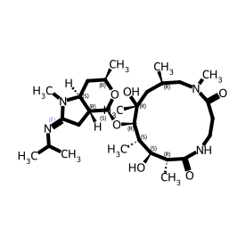 CC(C)/N=C1\C[C@H]2[C@H](O[C@@H]3[C@@H](C)[C@H](O)[C@@H](C)C(=O)NCCC(=O)N(C)C[C@H](C)C[C@@]3(C)O)O[C@H](C)C[C@@H]2N1C